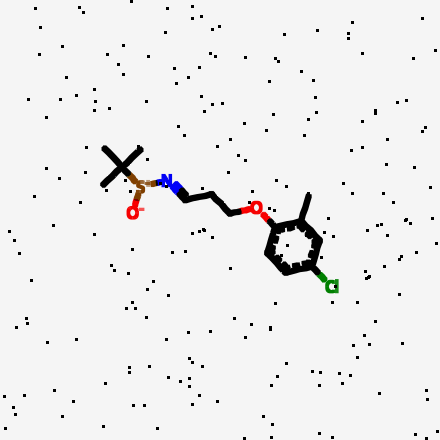 Cc1cc(Cl)ccc1OCC/C=N/[S+]([O-])C(C)(C)C